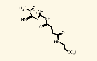 CN(C)C(=N)NC(=N)NC(=O)CCC(=O)NCCC(=O)O